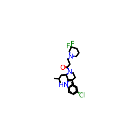 CC(C)CC1c2[nH]c3ccc(Cl)cc3c2CCN1C(=O)CCN1CCCC(F)(F)C1